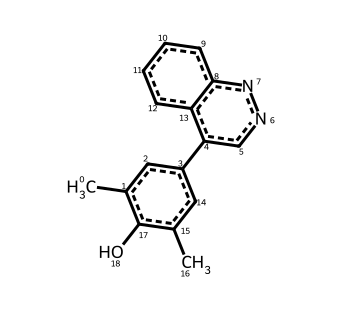 Cc1cc(-c2cnnc3ccccc23)cc(C)c1O